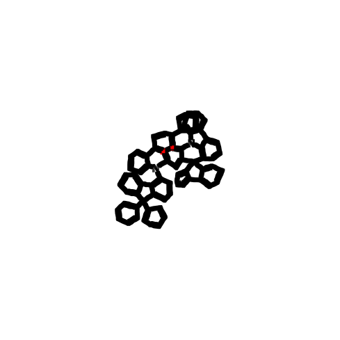 c1ccc(-c2ccc(-c3ccccc3N(c3ccc4c(c3)C3(c5ccccc5-c5ccccc53)c3cccc5c6ccccc6n-4c35)c3cccc4c3-c3ccccc3C4(c3ccccc3)c3ccccc3)cc2)cc1